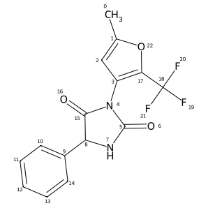 Cc1cc(N2C(=O)NC(c3ccccc3)C2=O)c(C(F)(F)F)o1